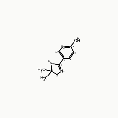 CC1(C)CN=C(c2ccc(O)cc2)S1